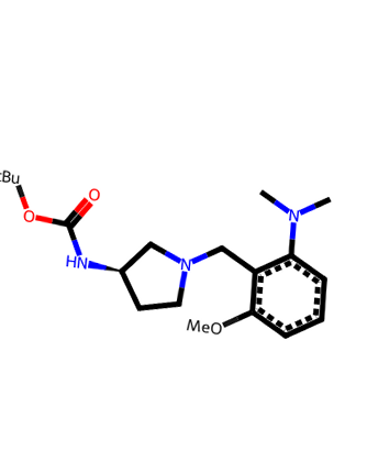 COc1cccc(N(C)C)c1CN1CC[C@@H](NC(=O)OC(C)(C)C)C1